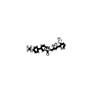 Cc1cccnc1-c1cc(Cn2nc3ccc(-c4ccc(OC(F)(F)F)cc4)cn3c2=O)no1